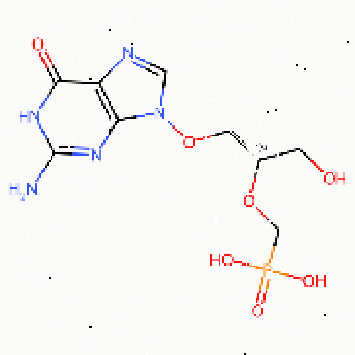 Nc1nc2c(ncn2OC[C@H](CO)OCP(=O)(O)O)c(=O)[nH]1